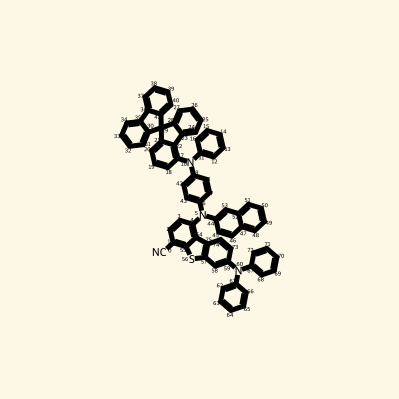 N#Cc1ccc(N(c2ccc(N(c3ccccc3)c3cccc4c3-c3ccccc3C43c4ccccc4-c4ccccc43)cc2)c2ccc3ccccc3c2)c2c1sc1cc(N(c3ccccc3)c3ccccc3)ccc12